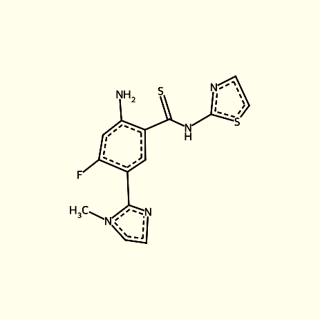 Cn1ccnc1-c1cc(C(=S)Nc2nccs2)c(N)cc1F